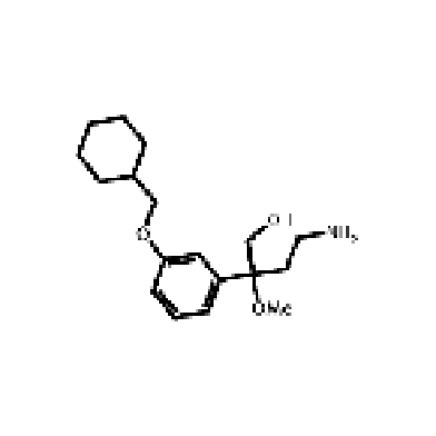 COC(CO)(CCN)c1cccc(OCC2CCCCC2)c1